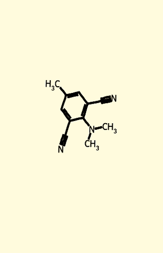 Cc1cc(C#N)c(N(C)C)c(C#N)c1